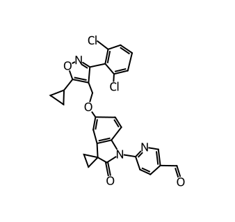 O=Cc1ccc(N2C(=O)C3(CC3)c3cc(OCc4c(-c5c(Cl)cccc5Cl)noc4C4CC4)ccc32)nc1